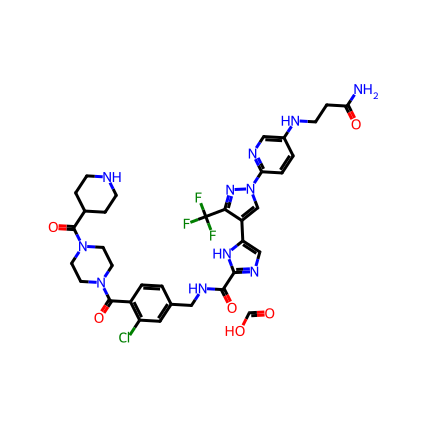 NC(=O)CCNc1ccc(-n2cc(-c3cnc(C(=O)NCc4ccc(C(=O)N5CCN(C(=O)C6CCNCC6)CC5)c(Cl)c4)[nH]3)c(C(F)(F)F)n2)nc1.O=CO